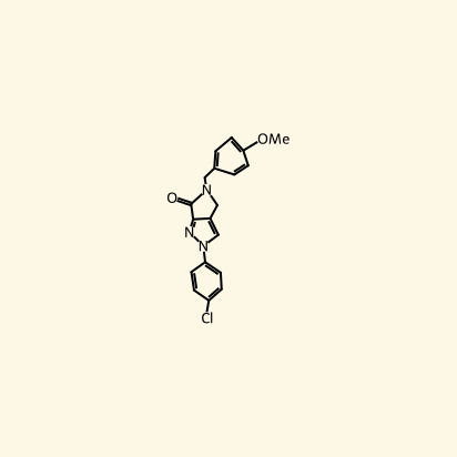 COc1ccc(CN2Cc3cn(-c4ccc(Cl)cc4)nc3C2=O)cc1